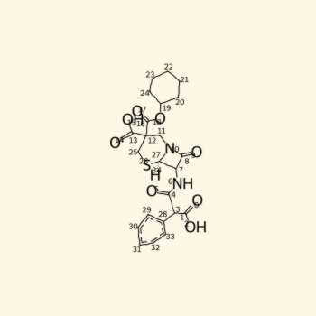 O=C(O)C(C(=O)NC1C(=O)N2CC(C(=O)O)(C(=O)OC3CCCCC3)CS[C@H]12)c1ccccc1